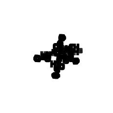 CB(O)NCCCCC(CN(CCNC(=O)OCc1ccccc1)CCNC(=O)OCc1ccccc1)N(CCNC(=O)OCc1ccccc1)CCNC(=O)OCc1ccccc1